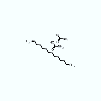 C=CCCCCCCCCCCCC.NC(=O)O.NC(=O)O